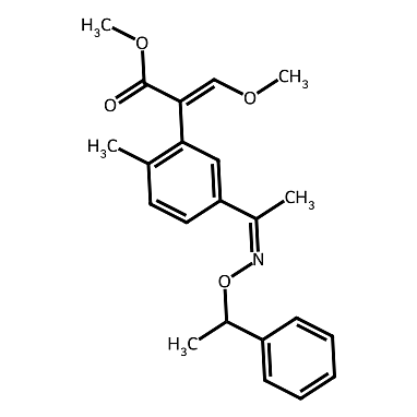 CO/C=C(/C(=O)OC)c1cc(/C(C)=N\OC(C)c2ccccc2)ccc1C